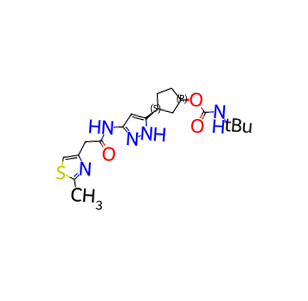 Cc1nc(CC(=O)Nc2cc([C@H]3CC[C@@H](OC(=O)NC(C)(C)C)C3)[nH]n2)cs1